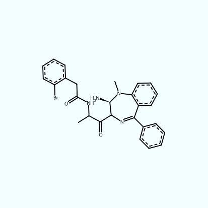 CC(NC(=O)Cc1ccccc1Br)C(=O)C1N=C(c2ccccc2)c2ccccc2N(C)[C@@H]1N